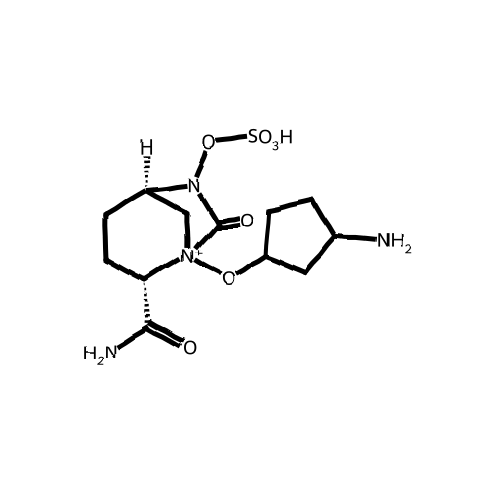 NC(=O)[C@@H]1CC[C@@H]2C[N+]1(OC1CCC(N)C1)C(=O)N2OS(=O)(=O)O